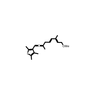 COCC=C(C)C=CCC(C)=C=Cc1c(C)sc(C)c1C